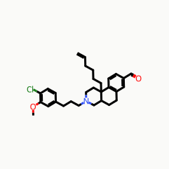 C=CCCCCC12CCN(CCCc3ccc(Cl)c(OC)c3)CC1CCc1cc(C=O)ccc12